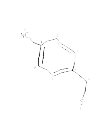 N#Cc1ccc(C[S])cc1